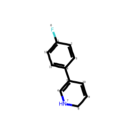 Fc1ccc(C2=CNCC=C2)cc1